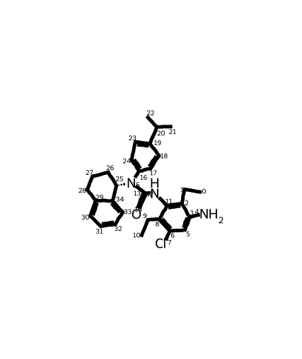 CCc1c(N)cc(Cl)c(CC)c1NC(=O)N(c1ccc(C(C)C)cc1)[C@H]1CCCc2ccccc21